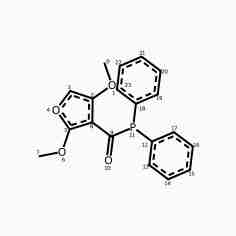 COc1coc(OC)c1C(=O)P(c1ccccc1)c1ccccc1